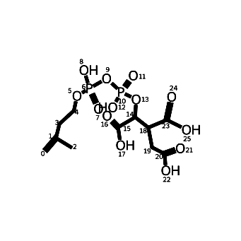 C=C(C)CCOP(=O)(O)OP(=O)(O)OC(C(=O)O)C(CC(=O)O)C(=O)O